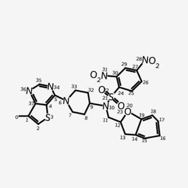 Cc1csc2c(N3CCC(N(CC4Cc5ccccc5O4)S(=O)(=O)c4ccc([N+](=O)[O-])cc4[N+](=O)[O-])CC3)ncnc12